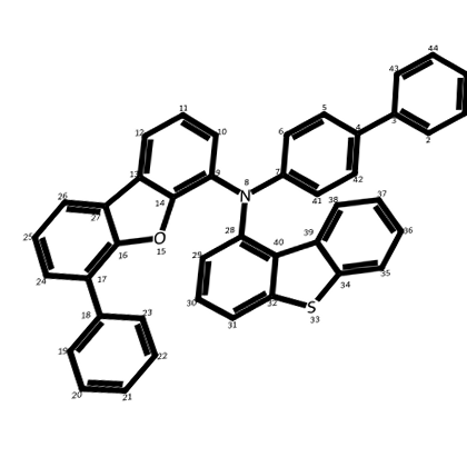 c1ccc(-c2ccc(N(c3cccc4c3oc3c(-c5ccccc5)cccc34)c3cccc4sc5ccccc5c34)cc2)cc1